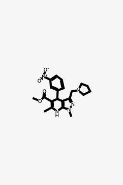 COC(=O)C1=C(C)Nc2c(c(CN3CCCC3)nn2C)C1c1cccc([N+](=O)[O-])c1